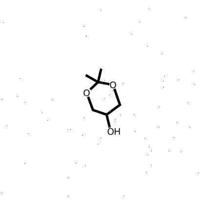 CC1(C)OC[C](O)CO1